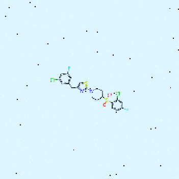 O=S(=O)(c1ccc(F)cc1Cl)C1CCN(c2nc(Cc3cc(F)cc(Cl)c3)cs2)CC1